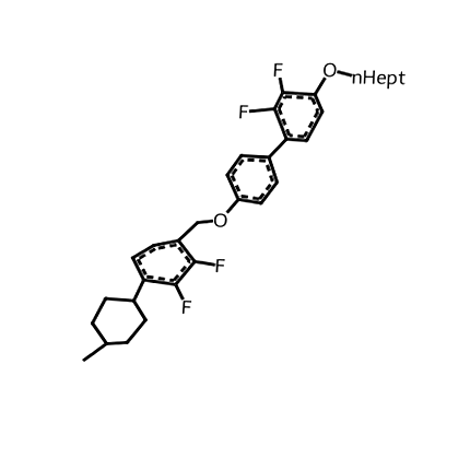 CCCCCCCOc1ccc(-c2ccc(OCc3ccc(C4CCC(C)CC4)c(F)c3F)cc2)c(F)c1F